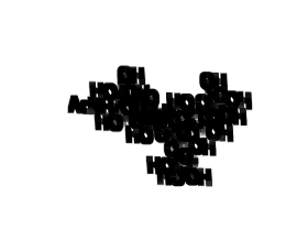 CC(=O)N[C@H]1[C@H](O[C@H]2[C@@H](O)[C@@H](CO)O[C@@H](O[C@H]3[C@H](O)[C@@H](O)C(O)O[C@@H]3CO)[C@@H]2O)O[C@H](CO)[C@@H](O[C@@H]2O[C@@H](C)[C@@H](O)[C@@H](O)[C@@H]2O)[C@@H]1O[C@@H]1O[C@H](CO)[C@H](O)[C@H](O[C@]2(C(=O)O)C[C@H](O)[C@@H](NC(C)=O)[C@H]([C@H](O)[C@H](O)CO)O2)[C@H]1O